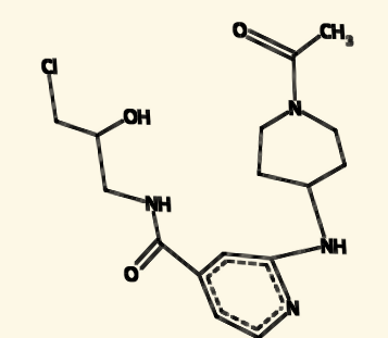 CC(=O)N1CCC(Nc2cc(C(=O)NCC(O)CCl)ccn2)CC1